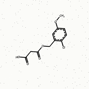 COc1ccc(Cl)c(COC(=O)CC(=O)O)c1